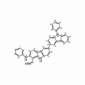 N=Cc1c(Nc2ccccc2)ccc2c1[nH]c1ccc(-c3ccc4c(c3)c3ccccc3n4-c3ccccc3)cc12